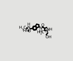 CC1NOC(c2ccc3c(c2)CC[C@H]3NC(=O)C2CNN(CCO)C2C)N1